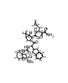 CC1(C)C2CN(C(=O)[C@@H](NC(=O)NC3(CS(=O)(=O)C(C)(C)C)CCCCC3)C3Cc4ccccc4C3)[C@H](C(=O)NC(CC3CC3)C(=O)C(N)=O)[C@H]21